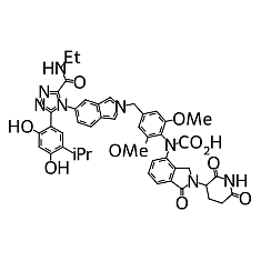 CCNC(=O)c1nnc(-c2cc(C(C)C)c(O)cc2O)n1-c1ccc2cn(Cc3cc(OC)c(N(C(=O)O)c4cccc5c4CN(C4CCC(=O)NC4=O)C5=O)c(OC)c3)cc2c1